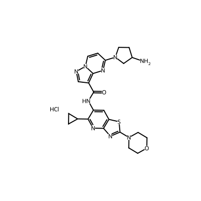 Cl.NC1CCN(c2ccn3ncc(C(=O)Nc4cc5sc(N6CCOCC6)nc5nc4C4CC4)c3n2)C1